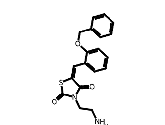 NCCN1C(=O)S/C(=C/c2ccccc2OCc2ccccc2)C1=O